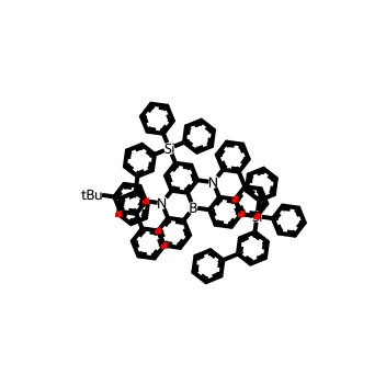 CC(C)(C)c1ccc(N2c3ccccc3B3c4ccc([Si](c5ccccc5)(c5ccccc5)c5cccc(-c6ccccc6)c5)cc4N(c4ccccc4-c4ccccc4)c4cc([Si](c5ccccc5)(c5ccccc5)c5cccc(-c6ccccc6)c5)cc2c43)c(-c2ccccc2)c1